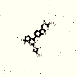 C[C@H]1C(O)CN1c1nc(-c2ccc3c(c2)OCC3CN(C)C(N)=O)c2c(n1)C(F)(F)CC2